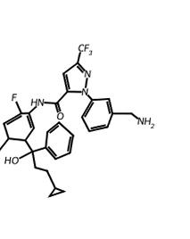 CC1C=C(F)C(NC(=O)c2cc(C(F)(F)F)nn2-c2cccc(CN)c2)=CC1C(O)(CCC1CC1)c1ccccc1